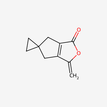 C=C1OC(=O)C2=C1CC1(CC1)C2